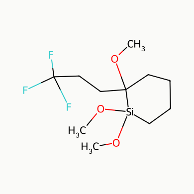 COC1(CCC(F)(F)F)CCCC[Si]1(OC)OC